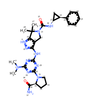 CN(C)c1nc(Nc2n[nH]c3c2CN(C(=O)N[C@@H]2C[C@H]2c2ccccc2)C3(C)C)nc(N2CCC[C@H]2C(N)=O)n1